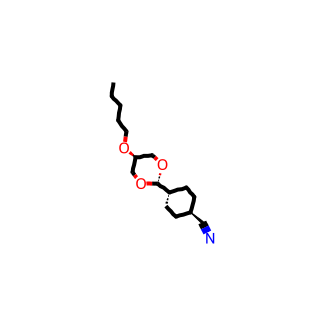 CCCCCO[C@H]1CO[C@H]([C@H]2CC[C@H](C#N)CC2)OC1